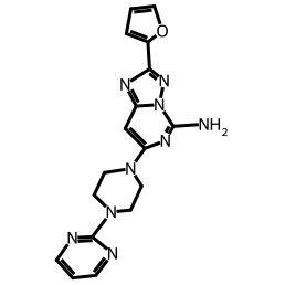 Nc1nc(N2CCN(c3ncccn3)CC2)cc2nc(-c3ccco3)nn12